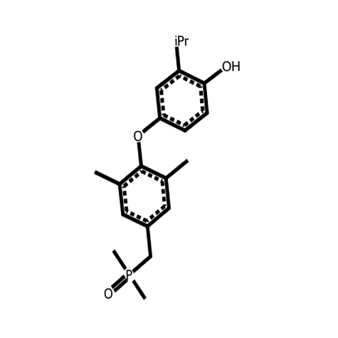 Cc1cc(CP(C)(C)=O)cc(C)c1Oc1ccc(O)c(C(C)C)c1